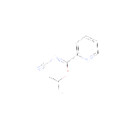 CC(C)OC(=NC#N)c1ccccn1